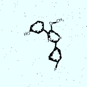 COc1cnc(-c2ccc(F)cc2)nc1-c1cccc(O)c1